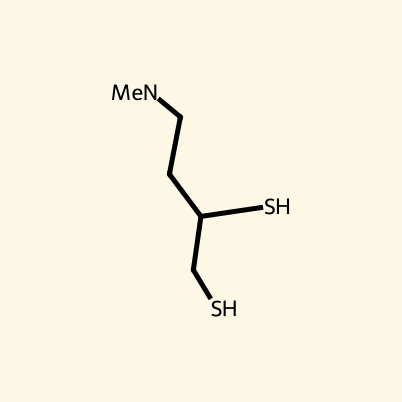 CNCCC(S)CS